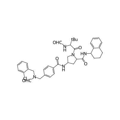 CC(C)(C)C(NC=O)C(=O)N1CC(NC(=O)c2ccc(CN(C=O)Cc3ccccc3Cl)cc2)CC1C(=O)NC1CCCc2ccccc21